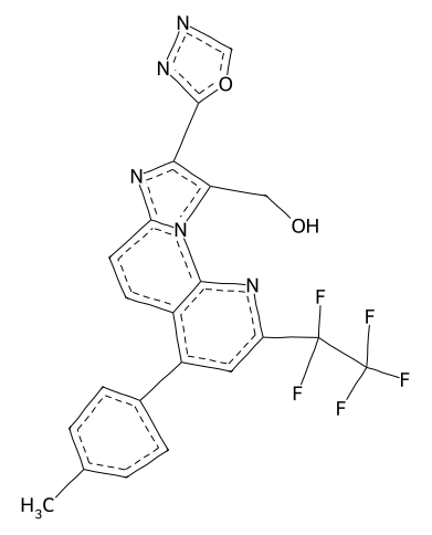 Cc1ccc(-c2cc(C(F)(F)C(F)(F)F)nc3c2ccc2nc(-c4nnco4)c(CO)n23)cc1